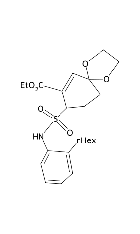 CCCCCCc1ccccc1NS(=O)(=O)C1CCC2(C=C1C(=O)OCC)OCCO2